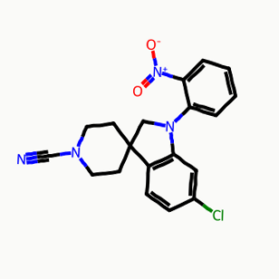 N#CN1CCC2(CC1)CN(c1ccccc1[N+](=O)[O-])c1cc(Cl)ccc12